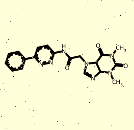 CN1C(=O)C2C(N=CN2CC(=O)Nc2ccc(-c3ccccc3)nn2)N(C)C1=O